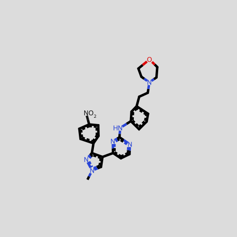 Cn1cc(-c2ccnc(Nc3cccc(CCN4CCOCC4)c3)n2)c(-c2ccc([N+](=O)[O-])cc2)n1